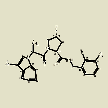 CC(=O)c1cn(C(C)C(=O)N2C[C@H](F)C[C@H]2C(=O)NCc2cccc(Cl)c2F)c2ccccc12